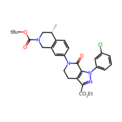 CCOC(=O)c1nn(-c2cccc(Cl)c2)c2c1CCN(c1ccc3c(c1)CN(C(=O)OC(C)(C)C)C[C@@H]3C)C2=O